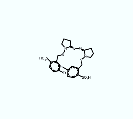 CCc1ccc(S(=O)(=O)O)c(CSN2CCCC2=NN=C2CCCN2SCc2cc(CC)ccc2S(=O)(=O)O)c1